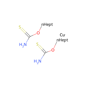 CCCCCCCOC(N)=S.CCCCCCCOC(N)=S.[Cu]